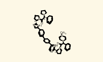 CN1CCN(C(C(=O)N2CCC[C@H]2c2ncc(-c3ccc(-c4ccc(-c5cnc([C@@H]6CCCN6C(=O)[C@@H](c6ccccc6)N6CCCC6)[nH]5)cc4)cc3)[nH]2)c2ccccc2)CC1